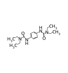 CCN(CC)C(=O)Nc1ccc(NC(=O)N(CC)CC)cc1